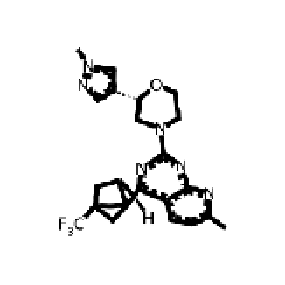 Cc1ccc2c([C@@H]3CC4(C(F)(F)F)CC3C4)nc(N3CCO[C@@H](c4cnn(C)c4)C3)nc2n1